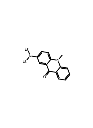 CCN(CC)c1ccc2c(c1)c(=O)c1ccccc1n2C